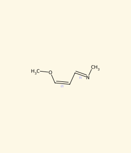 C/N=C/C=C\OC